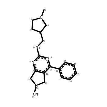 CN1CCC(CNc2nc3c(c(-c4ccccc4)n2)CN(C#N)C3)C1